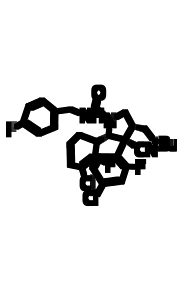 CC(C)(C)C[C@@H]1CN(C(=O)NCc2ccc(F)cc2)[C@H](C2CC=CC(Cl)=C2F)[C@@]1(C#N)c1ccc(Cl)cc1F